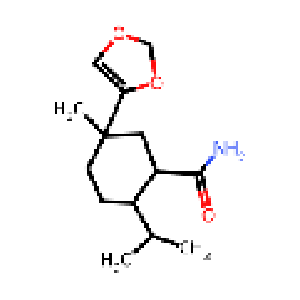 CC(C)C1CCC(C)(C2=COCO2)CC1C(N)=O